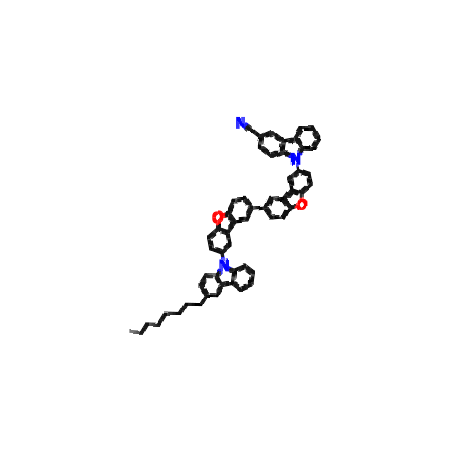 CCCCCCCCc1ccc2c(c1)c1ccccc1n2-c1ccc2oc3ccc(-c4ccc5oc6ccc(-n7c8ccccc8c8cc(C#N)ccc87)cc6c5c4)cc3c2c1